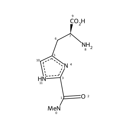 CNC(=O)c1nc(C[C@H](N)C(=O)O)c[nH]1